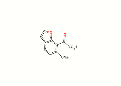 COc1ccc2ccoc2c1C(=O)C(=O)O